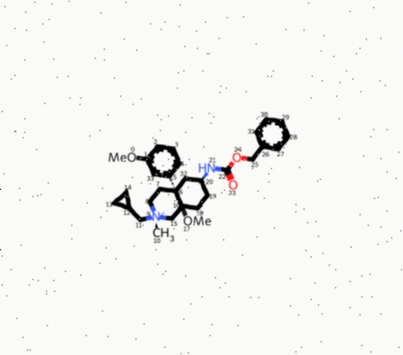 COc1cccc([C@@]23CC[N@+](C)(CC4CC4)CC2(OC)CC[C@H](NC(=O)OCc2ccccc2)C3)c1